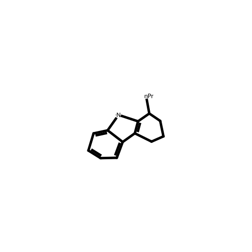 CCCC1CCCC2=C1[N]c1ccccc12